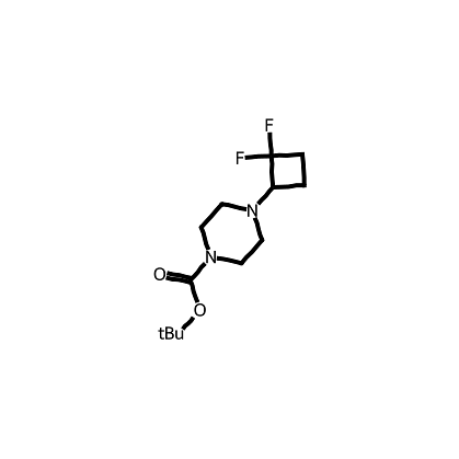 CC(C)(C)OC(=O)N1CCN(C2CCC2(F)F)CC1